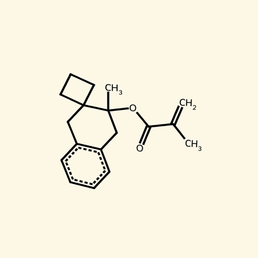 C=C(C)C(=O)OC1(C)Cc2ccccc2CC12CCC2